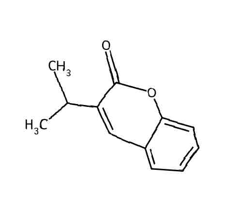 CC(C)c1cc2ccccc2oc1=O